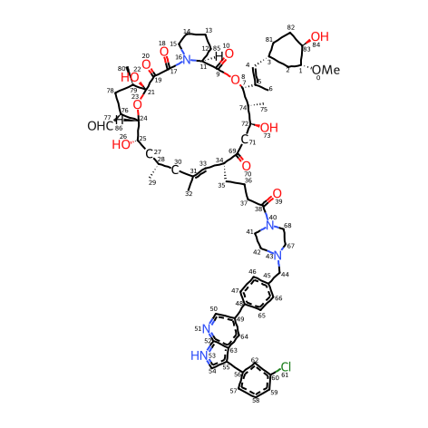 CO[C@@H]1C[C@H](/C=C(\C)[C@H]2OC(=O)[C@@H]3CCCCN3C(=O)C(=O)[C@]3(O)O[C@H]([C@@H](O)C[C@@H](C)C/C(C)=C/[C@@H](CCCC(=O)N4CCN(Cc5ccc(-c6cnc7[nH]cc(-c8cccc(Cl)c8)c7c6)cc5)CC4)C(=O)C[C@H](O)[C@H]2C)[C@@H](C=O)C[C@H]3C)CC[C@H]1O